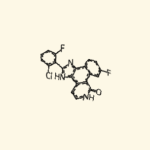 O=c1[nH]ccc2c3[nH]c(-c4c(F)cccc4Cl)nc3c3ccc(F)cc3c12